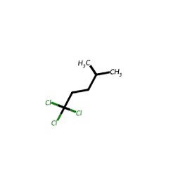 C[C](C)CCC(Cl)(Cl)Cl